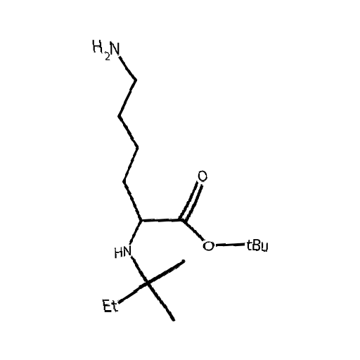 CCC(C)(C)NC(CCCCN)C(=O)OC(C)(C)C